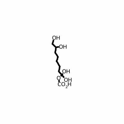 O=C(O)OC(O)(O)CCCCCC(O)CO